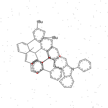 CC(C)(C)c1cc(C2=CC=CC3=CC=CC(c4ccccc4N(c4ccc5c(c4)c4ccccc4n5-c4ccccc4)c4ccccc4-c4ccccc4-c4ccccc4-c4ccccc4)C32C)cc(C(C)(C)C)c1